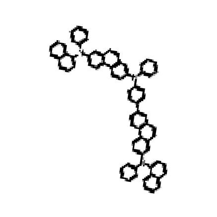 c1ccc(N(c2ccc(-c3ccc4c(ccc5cc(N(c6ccccc6)c6cccc7ccccc67)ccc54)c3)cc2)c2ccc3c(ccc4cc(N(c5ccccc5)c5cccc6ccccc56)ccc43)c2)cc1